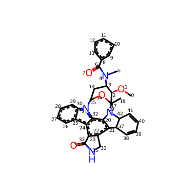 CO[C@@H]1C(N(C)C(=O)c2ccccc2)CC2OC1(C)N1c3c(c4c(c5c6ccccc6n2c35)C(=O)NC4)C2C=CC=CC21